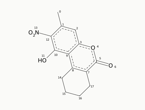 Cc1cc2oc(=O)c3c(c2c(O)c1[N+](=O)[O-])CCCC3